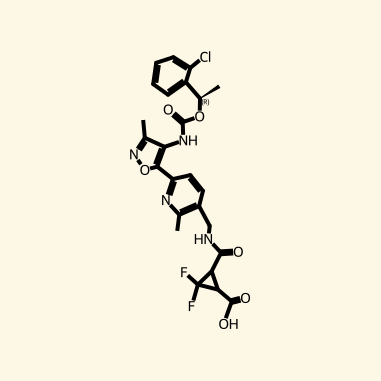 Cc1nc(-c2onc(C)c2NC(=O)O[C@H](C)c2ccccc2Cl)ccc1CNC(=O)C1C(C(=O)O)C1(F)F